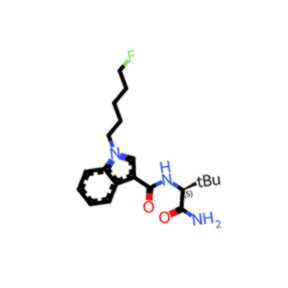 CC(C)(C)[C@H](NC(=O)c1cn(CCCCCF)c2ccccc12)C(N)=O